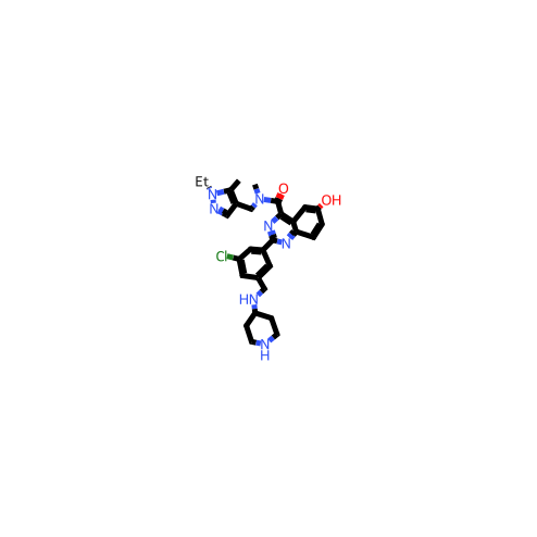 CCn1ncc(CN(C)C(=O)c2nc(-c3cc(Cl)cc(CNC4CCNCC4)c3)nc3ccc(O)cc23)c1C